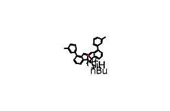 CCCC[SiH]=[Hf]([CH3])([CH3])([CH]1C=Cc2c(-c3cccc(C)c3)cccc21)[CH]1C=Cc2c(-c3cccc(C)c3)cccc21